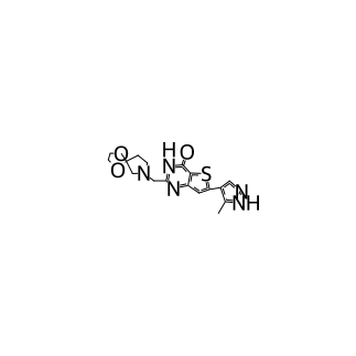 Cc1[nH]ncc1-c1cc2nc(CN3CCC4(C3)OCCO4)[nH]c(=O)c2s1